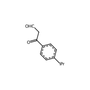 CC(C)c1ccc(C(=O)CC=O)cc1